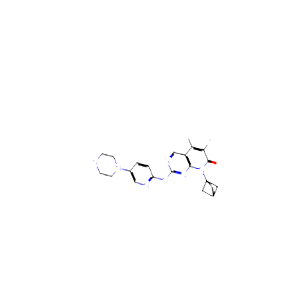 CC(=O)c1c(C)c2cnc(Nc3ccc(N4CCNCC4)cn3)nc2n(C23CC(C2)C3)c1=O